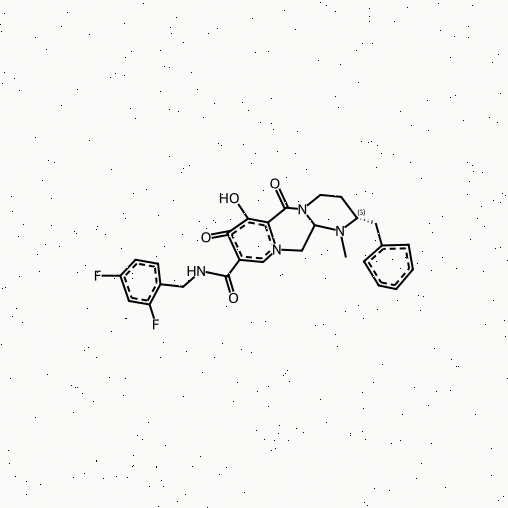 CN1C2Cn3cc(C(=O)NCc4ccc(F)cc4F)c(=O)c(O)c3C(=O)N2CC[C@@H]1Cc1ccccc1